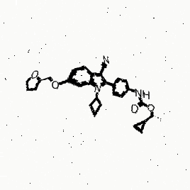 C[C@@H](OC(=O)Nc1ccc(-c2c(C#N)c3ccc(OC[C@H]4CCCO4)cc3n2C2CCC2)cc1)C1CC1